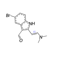 CN(C)/C=C/c1[nH]c2ccc(Br)cc2c1C=O